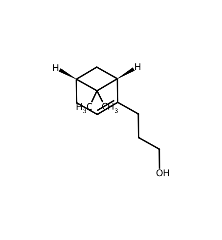 CC1(C)[C@@H]2CC=C(CCCO)[C@H]1C2